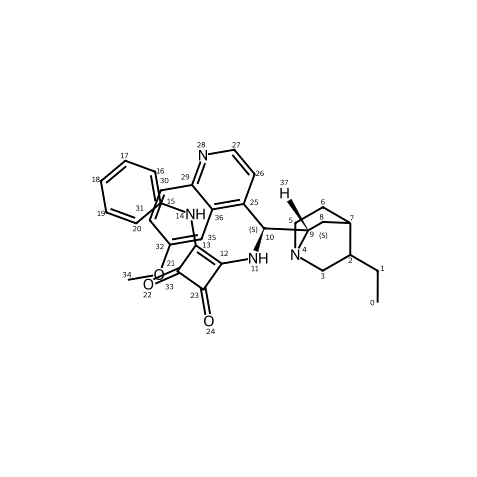 CCC1CN2CCC1C[C@H]2[C@@H](Nc1c(Nc2ccccc2)c(=O)c1=O)c1ccnc2ccc(OC)cc12